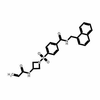 C=CC(=O)NC1CN(S(=O)(=O)c2ccc(C(=O)NCc3cccc4ccccc34)cc2)C1